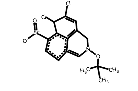 CC(C)(C)ON1C=c2ccc([N+](=O)[O-])c3c2=C(C=C(Cl)C3Cl)C1